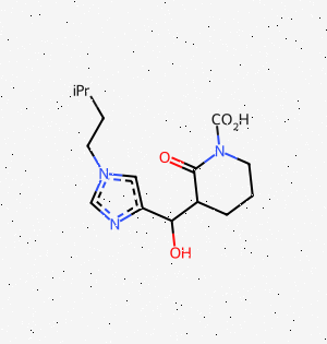 CC(C)CCn1cnc(C(O)C2CCCN(C(=O)O)C2=O)c1